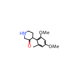 COc1cc(C)c(C2CCNCC2=O)c(OC)c1